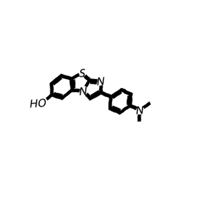 CN(C)c1ccc(-c2cn3c(n2)sc2ccc(O)cc23)cc1